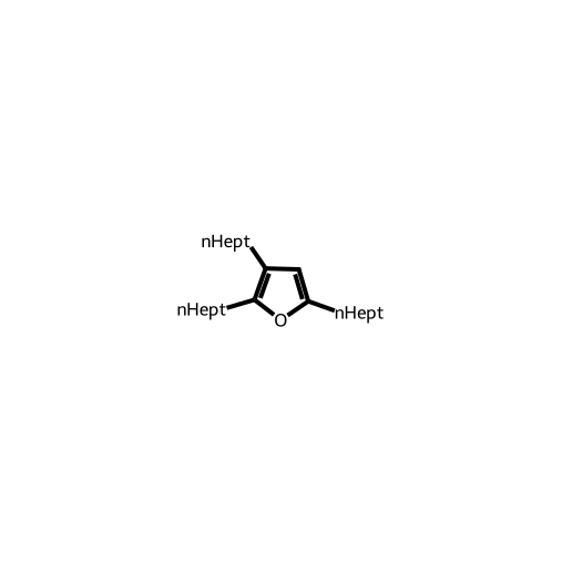 CCCCCCCc1cc(CCCCCCC)c(CCCCCCC)o1